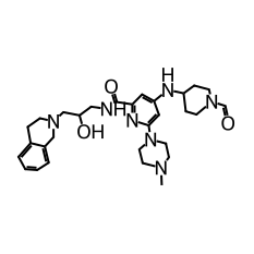 CN1CCN(c2cc(NC3CCN(C=O)CC3)cc(C(=O)NCC(O)CN3CCc4ccccc4C3)n2)CC1